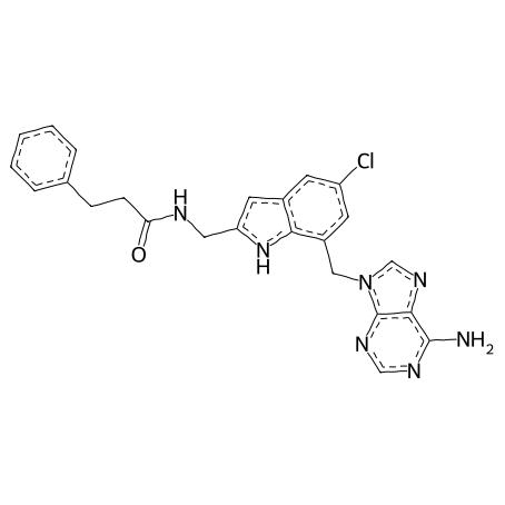 Nc1ncnc2c1ncn2Cc1cc(Cl)cc2cc(CNC(=O)CCc3ccccc3)[nH]c12